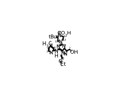 CCOCCn1nc(CO)c2nc(N3CCN(C(=O)O)C(C(C)(C)C)C3)nc(Nc3cc(C)ccn3)c21